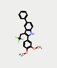 COc1ccc(-c2[nH]c3ccc(-c4c[c]ccc4)cc3c2CC(F)(F)F)cc1OC